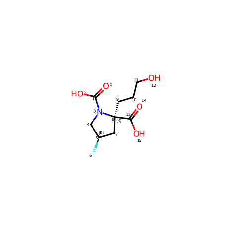 O=C(O)N1C[C@H](F)C[C@]1(CCCO)C(=O)O